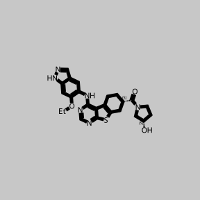 CCOc1cc2[nH]ncc2cc1Nc1ncnc2sc3c(c12)CC[C@H](C(=O)N1CC[C@H](O)C1)C3